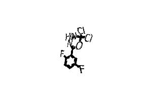 Fc1ccc(F)c(C2=NNC(Cl)(Cl)O2)c1